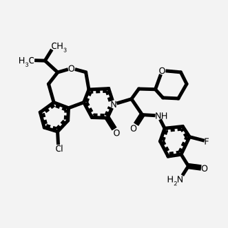 CC(C)C1Cc2ccc(Cl)cc2-c2cc(=O)n(C(CC3CCCCO3)C(=O)Nc3ccc(C(N)=O)c(F)c3)cc2CO1